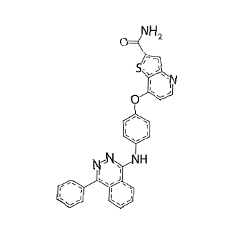 NC(=O)c1cc2nccc(Oc3ccc(Nc4nnc(-c5ccccc5)c5ccccc45)cc3)c2s1